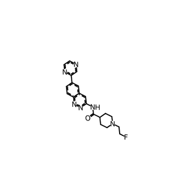 O=C(Nc1cc2cc(-c3cnccn3)ccc2nn1)C1CCN(CCF)CC1